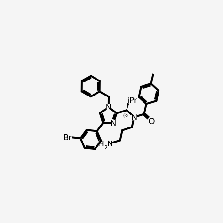 Cc1ccc(C(=O)N(CCCN)[C@@H](c2nc(-c3cccc(Br)c3)cn2Cc2ccccc2)C(C)C)cc1